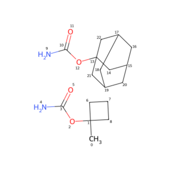 CC1(OC(N)=O)CCC1.NC(=O)OC12CC3CC(CC(C3)C1)C2